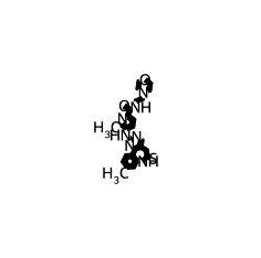 Cc1ccc2c(c1)NC(=S)Cc1cnc(Nc3ccc(C(=O)NCCN4CCOCC4)nc3C)nc1-2